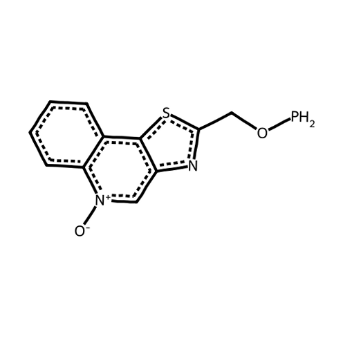 [O-][n+]1cc2nc(COP)sc2c2ccccc21